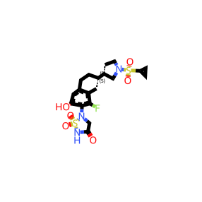 O=C1CN(c2c(O)cc3c(c2F)C[C@@H]([C@@H]2CCN(S(=O)(=O)C4CC4)C2)CC3)S(=O)(=O)N1